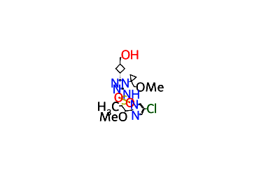 COCC1(n2c(NS(=O)(=O)C(C)C(OC)c3ncc(Cl)cn3)nnc2[C@H]2C[C@H](CO)C2)CC1